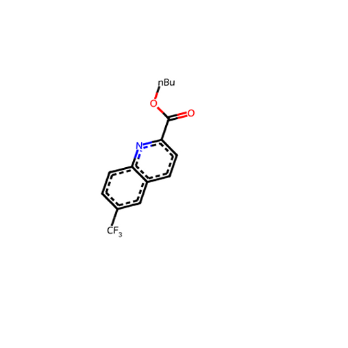 CCCCOC(=O)c1ccc2cc(C(F)(F)F)ccc2n1